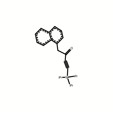 CC(C)[Si](C#CC(=O)Cc1cccc2ccccc12)(C(C)C)C(C)C